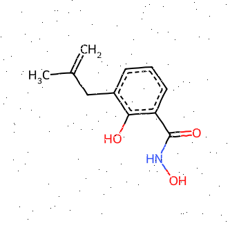 C=C(C)Cc1cccc(C(=O)NO)c1O